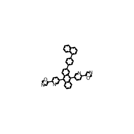 c1ccc2c(-c3ccc(-c4ccc5c(-c6ccc(-c7cnco7)nc6)c6ccccc6c(-c6ccc(-c7cnco7)nc6)c5c4)cc3)cccc2c1